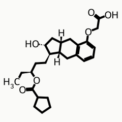 CC[C@@H](CC[C@@H]1[C@H]2Cc3cccc(OCC(=O)O)c3C[C@H]2C[C@H]1O)OC(=O)C1CCCC1